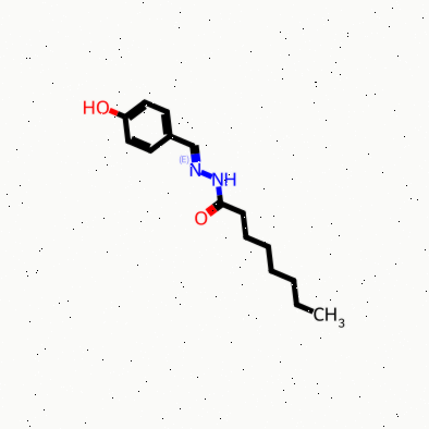 CCCCCCCC(=O)N/N=C/c1ccc(O)cc1